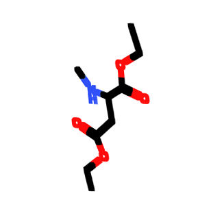 CCOC(=O)CC(NC)C(=O)OCC